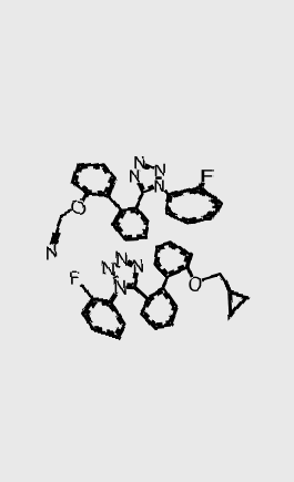 Fc1ccccc1-n1nnnc1-c1ccccc1-c1ccccc1OCC1CC1.N#CCOc1ccccc1-c1ccccc1-c1nnnn1-c1ccccc1F